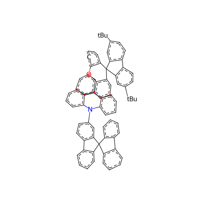 CC(C)(C)c1ccc2c(c1)C1(c3ccccc3Oc3c(-c4ccccc4N(c4ccc5c(c4)C4(c6ccccc6-c6ccccc64)c4ccccc4-5)c4ccccc4-c4ccccc4)cccc31)c1cc(C(C)(C)C)ccc1-2